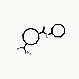 CC(N)C1CCCCCC(C(=O)NC2CCCCCCC2)CCC1